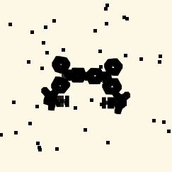 Cc1cc(C)c(-c2ccc(N(c3ccccc3)c3ccc(-c4ccc(N(c5ccccc5)c5ccc(-c6[nH]c(C)cc6C)cc5)cc4)cc3)cc2)[nH]1